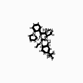 CCN(c1nc(-c2ccccc2N2CCCC2)c2[nH]ncc2n1)c1ccc(C(F)(F)F)cc1Cl